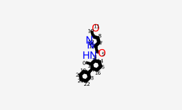 Cc1c(NC(=O)c2ccc(C=O)nn2)cccc1-c1ccccc1